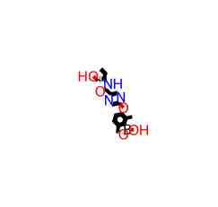 C=C[C@@H](CO)NC(=O)c1cnc(Oc2ccc3c(c2C)B(O)OC3)cn1